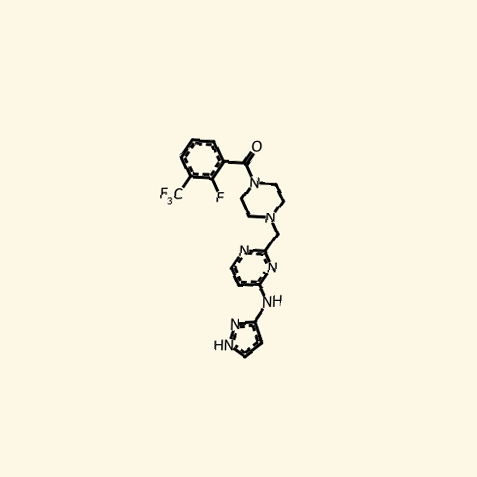 O=C(c1cccc(C(F)(F)F)c1F)N1CCN(Cc2nccc(Nc3cc[nH]n3)n2)CC1